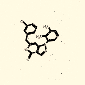 Cc1cccc(-n2ncc3c(=O)[nH]c(Cc4cccc(Cl)c4)cc32)c1C